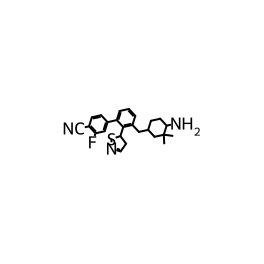 CC1(C)CC(Cc2cccc(-c3ccc(C#N)c(F)c3)c2C2CC=NS2)CCC1N